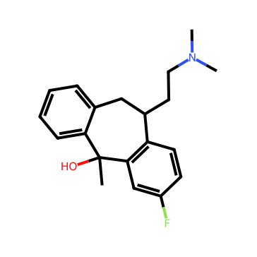 CN(C)CCC1Cc2ccccc2C(C)(O)c2cc(F)ccc21